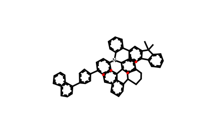 CC1(C)c2ccccc2-c2ccc(-c3ccccc3N(c3ccc(-c4ccc(-c5cccc6ccccc56)cc4)cc3)c3ccccc3-c3cccc4cccc(C5CCCCC5)c34)cc21